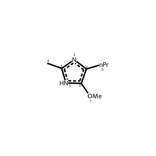 CCCc1nc(C)[nH]c1OC